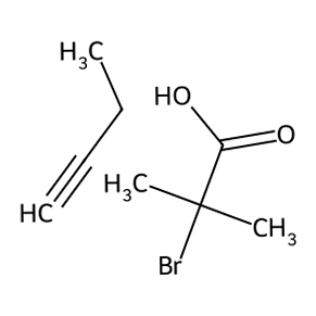 C#CCC.CC(C)(Br)C(=O)O